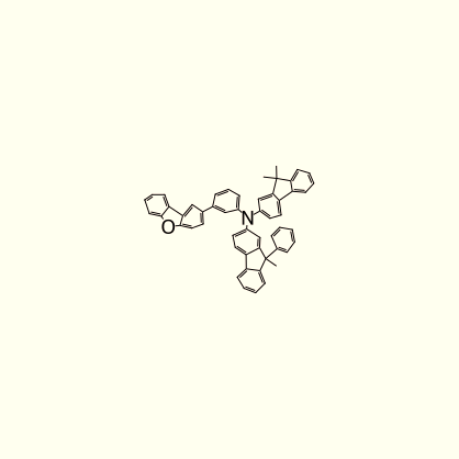 CC1(C)c2ccccc2-c2ccc(N(c3cccc(-c4ccc5oc6ccccc6c5c4)c3)c3ccc4c(c3)C(C)(c3ccccc3)c3ccccc3-4)cc21